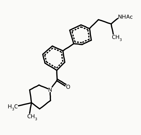 CC(=O)NC(C)Cc1ccc(-c2cccc(C(=O)N3CCC(C)(C)CC3)c2)cc1